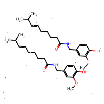 COc1cc(CNC(=O)CCCCC=CC(C)C)ccc1O.COc1cc(CNC(=O)CCCCC=CC(C)C)ccc1O